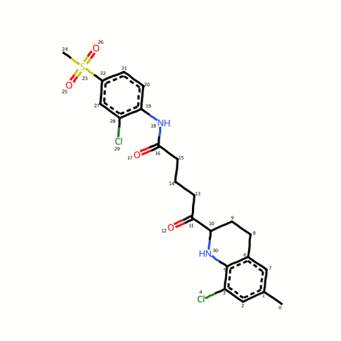 Cc1cc(Cl)c2c(c1)CCC(C(=O)CCCC(=O)Nc1ccc(S(C)(=O)=O)cc1Cl)N2